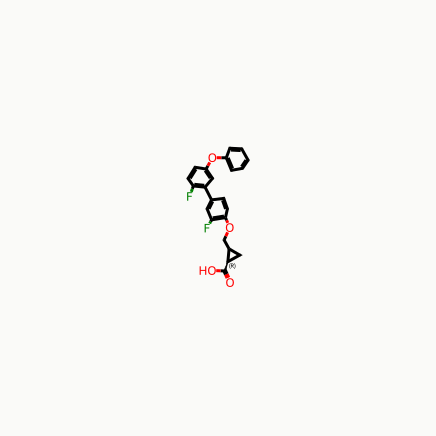 O=C(O)[C@@H]1CC1COc1ccc(-c2cc(Oc3ccccc3)ccc2F)cc1F